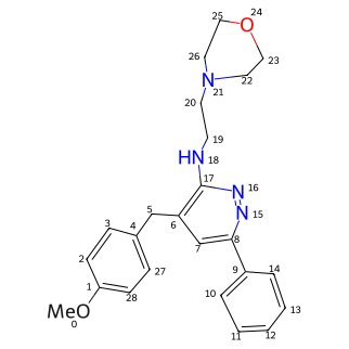 COc1ccc(Cc2cc(-c3ccccc3)nnc2NCCN2CCOCC2)cc1